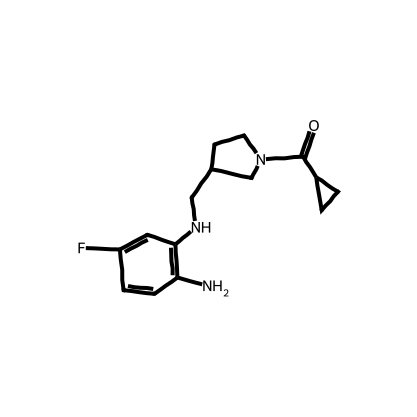 Nc1ccc(F)cc1NCC1CCN(C(=O)C2CC2)C1